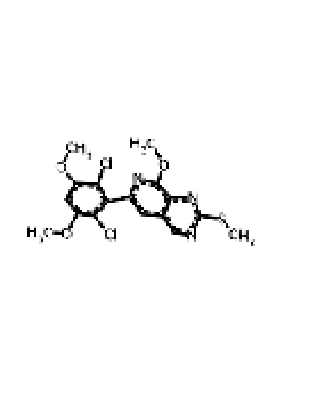 COc1cc(OC)c(Cl)c(-c2cc3cnc(SC)nc3c(OC)n2)c1Cl